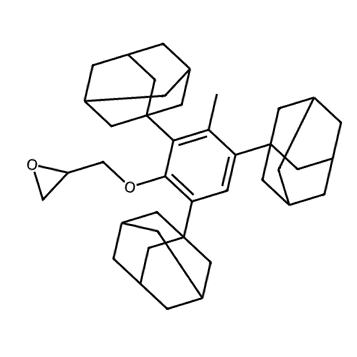 Cc1c(C23CC4CC(CC(C4)C2)C3)cc(C23CC4CC(CC(C4)C2)C3)c(OCC2CO2)c1C12CC3CC(CC(C3)C1)C2